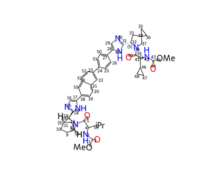 COC(=O)NC(C(=O)N1[C@@H]2CC[C@@H](C2)[C@H]1c1ncc(-c2ccc3cc(-c4ccc(-c5cnc([C@@H]6CC7(CC7)CN6C(=O)[C@@H](NC(=O)OC)C6CC6)[nH]5)cc4)ccc3c2)[nH]1)C(C)C